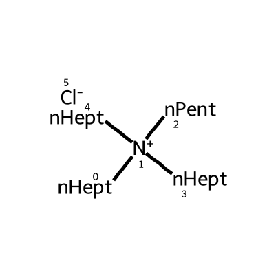 CCCCCCC[N+](CCCCC)(CCCCCCC)CCCCCCC.[Cl-]